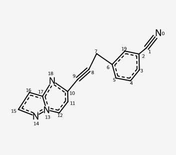 N#Cc1cccc(CC#Cc2ccn3nccc3n2)c1